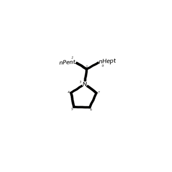 CCCCCCCC(CCCCC)N1CCCC1